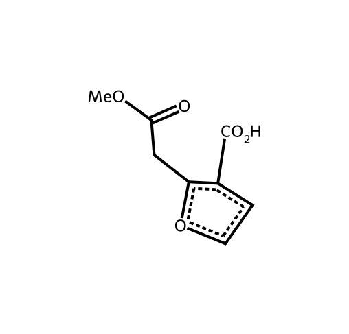 COC(=O)Cc1occc1C(=O)O